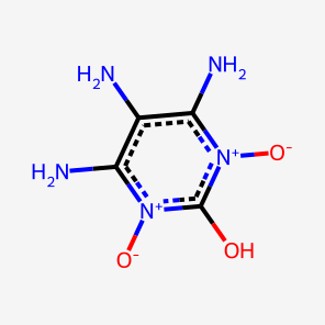 Nc1c(N)[n+]([O-])c(O)[n+]([O-])c1N